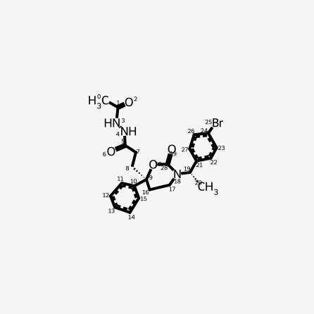 CC(=O)NNC(=O)CC[C@@]1(c2ccccc2)CCN([C@@H](C)c2ccc(Br)cc2)C(=O)O1